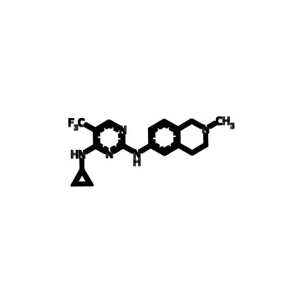 CN1CCc2cc(Nc3ncc(C(F)(F)F)c(NC4CC4)n3)ccc2C1